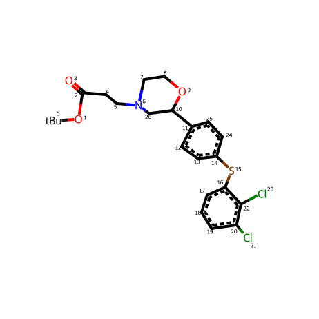 CC(C)(C)OC(=O)CCN1CCOC(c2ccc(Sc3cccc(Cl)c3Cl)cc2)C1